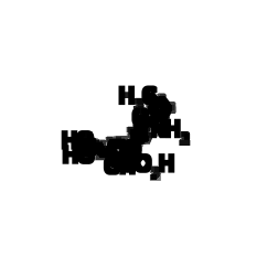 Cc1cccc([C@H](N)C(=O)N2CC(Oc3ccc(CCB(O)O)c(O)c3C(=O)O)C2)c1